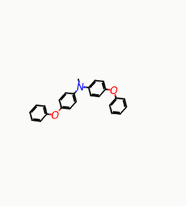 CN(c1ccc(Oc2ccccc2)cc1)c1ccc(Oc2ccccc2)cc1